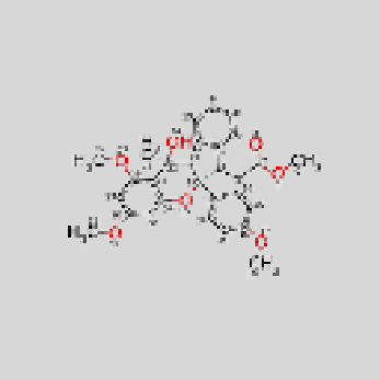 COC(=O)CC(c1ccccc1)[C@@]1(c2ccc(OC)cc2)C[C@](C)(O)c2c(OC)cc(OC)cc2O1